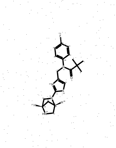 CC(C)(C)C(=O)N(Cc1csc(N2C[C@@H]3C[C@H]2CN3)n1)c1ccc(F)cc1